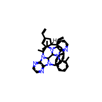 C=CC1=C/C2=C(\C)N3c4nccnc4N(c4ccc(cc4)CC(C=C)[C@H]2C1)C3C1N(c2ccccc2C)c2ncccc2N1C(C)C